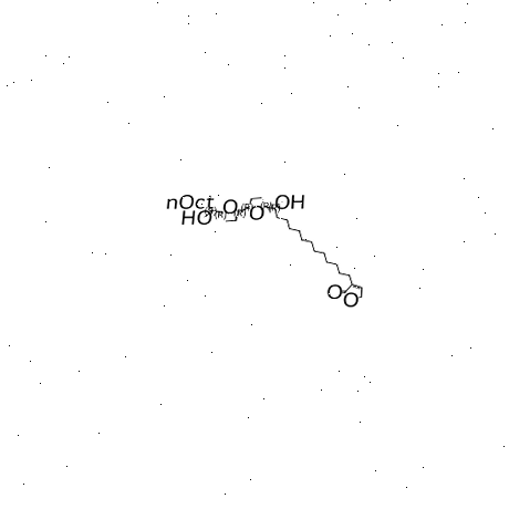 CCCCCCCC[C@H](O)[C@H]1CC[C@H]([C@H]2CC[C@H]([C@H](O)CCCCCCCCCCCCC3=CCOC3=O)O2)O1